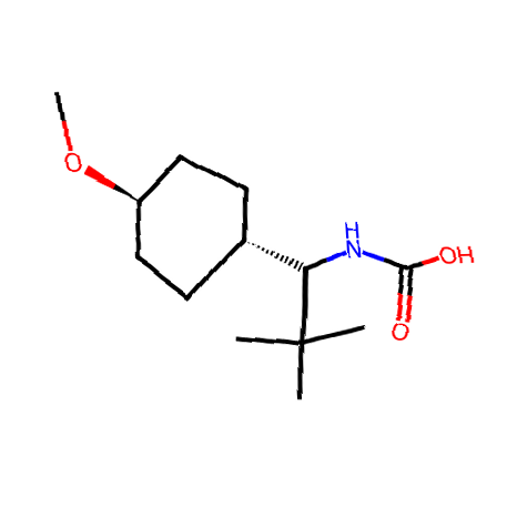 CO[C@H]1CC[C@H](C(NC(=O)O)C(C)(C)C)CC1